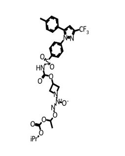 Cc1ccc(-c2cc(C(F)(F)F)nn2-c2ccc(S(=O)(=O)NC(=O)OC3CN([N+]([O-])=NOC(C)OC(=O)OC(C)C)C3)cc2)cc1